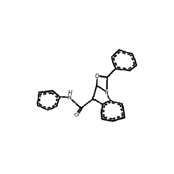 O=C(Nc1ccccc1)C1c2ccccc2N2C(c3ccccc3)OC12